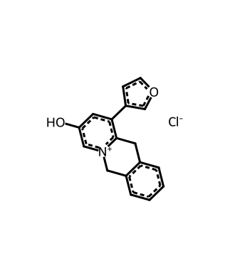 Oc1cc(-c2ccoc2)c2[n+](c1)Cc1ccccc1C2.[Cl-]